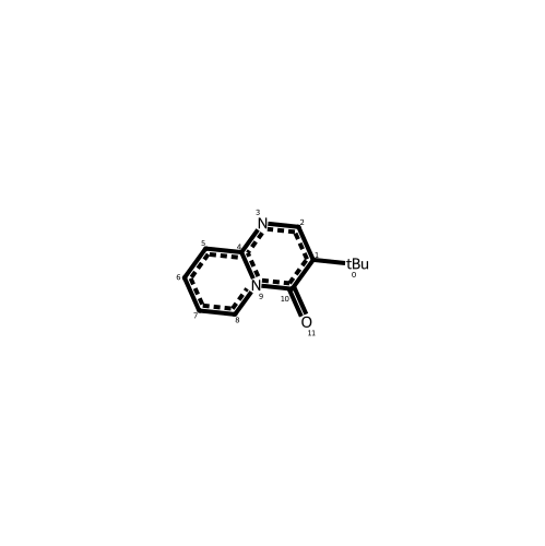 CC(C)(C)c1cnc2ccccn2c1=O